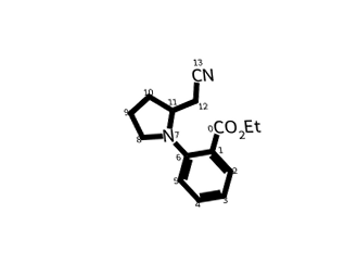 CCOC(=O)c1ccccc1N1CCCC1CC#N